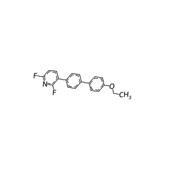 CCOc1ccc(-c2ccc(-c3ccc(F)nc3F)cc2)cc1